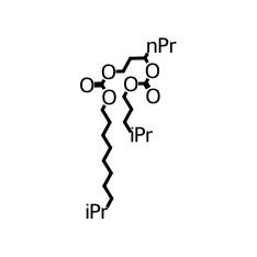 CCCC(CCOC(=O)OCCCCCCCCC(C)C)OC(=O)OCCCC(C)C